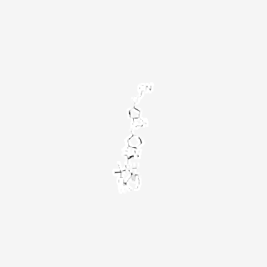 CC1(C)O[C@@H]2CCCC[C@H]2N1c1nc2ccc(Cn3cnc4cc(OCC#N)ccc43)cc2s1